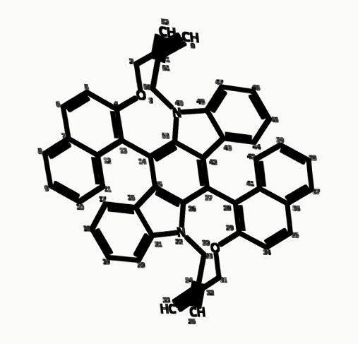 C#CCOc1ccc2ccccc2c1-c1c2c3ccccc3n(CC#C)c2c(-c2c(OCC#C)ccc3ccccc23)c2c3ccccc3n(CC#C)c12